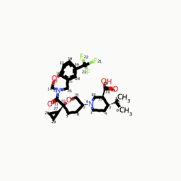 CC(C)[C@@H]1CCN([C@@H]2CC[C@@](C(=O)N3COc4ccc(C(F)(F)F)cc4C3)(C3CC3)OC2)C[C@H]1C(=O)O